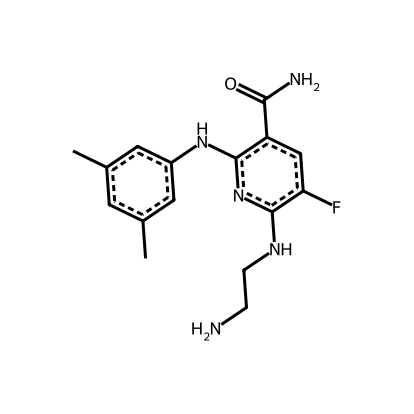 Cc1cc(C)cc(Nc2nc(NCCN)c(F)cc2C(N)=O)c1